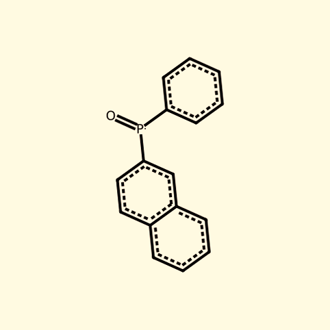 O=[P](c1ccccc1)c1ccc2ccccc2c1